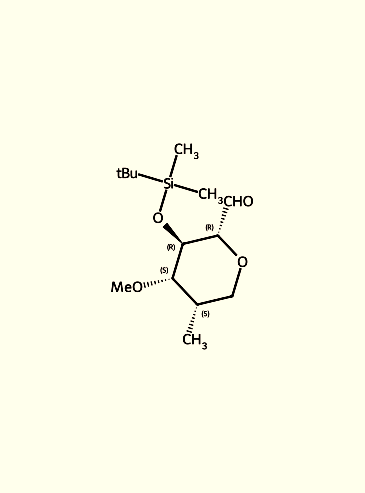 CO[C@@H]1[C@@H](O[Si](C)(C)C(C)(C)C)[C@H](C=O)OC[C@@H]1C